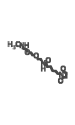 CNCCOCCOCCNC(=O)CCCCCN1C(=O)CCC1=O